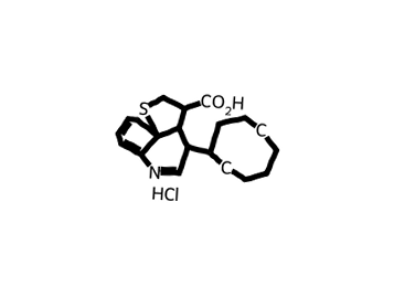 Cl.O=C(O)C1CSC23CC=CC=C2N=CC(C2CCCCCCC2)C13